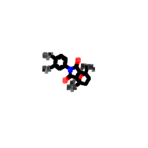 CC12CCC(C)(O1)[C@H]1C(=O)N(c3ccc([N+](=O)[O-])c(C(F)(F)F)c3)C(=O)[C@H]12